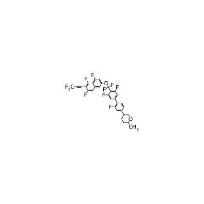 CC1CCC(c2ccc(-c3cc(F)c(C(F)(F)Oc4cc(F)c5c(F)c(C#CC(F)(F)F)c(F)cc5c4)c(F)c3)c(F)c2)CO1